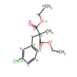 CCOC(=O)C(C)(Cc1cccc(Cl)c1)C(=O)OCC